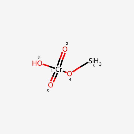 [O]=[Cr](=[O])([OH])[O][SiH3]